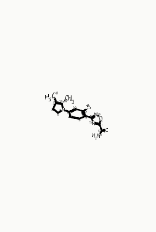 CC1CCN(c2ccc(-c3noc(C(N)=O)n3)c(Cl)c2)[C@H]1C